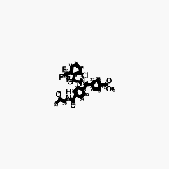 COC(=O)c1ccc(-c2nn(C(=O)c3c(Cl)cccc3C(F)(F)F)c3cc(C(=O)NCC(C)=O)ccc23)cc1